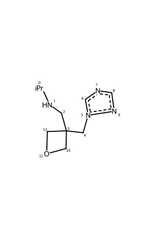 CC(C)NCC1(Cn2cncn2)COC1